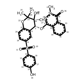 Cn1nc(O[C@@H]2c3cc(S(=O)(=O)c4ccc(O)cc4)ccc3OC(C)(C)[C@@]2(C)O)c2ccccc2c1=O